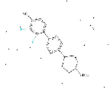 CCCCCCC1CCC(c2ccc(-c3ccc(C#N)c(F)c3F)cc2)CC1